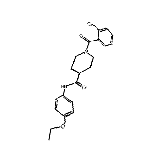 CCOc1ccc(NC(=O)C2CCN(C(=O)c3ccccc3Cl)CC2)cc1